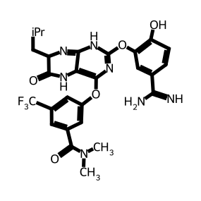 CC(C)CC1N=C2NC(Oc3cc(C(=N)N)ccc3O)=NC(Oc3cc(C(=O)N(C)C)cc(C(F)(F)F)c3)=C2NC1=O